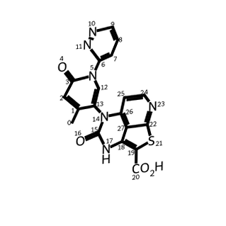 Cc1cc(=O)n(-c2cccnn2)cc1N1C(=O)Nc2c(C(=O)O)sc3nccc1c23